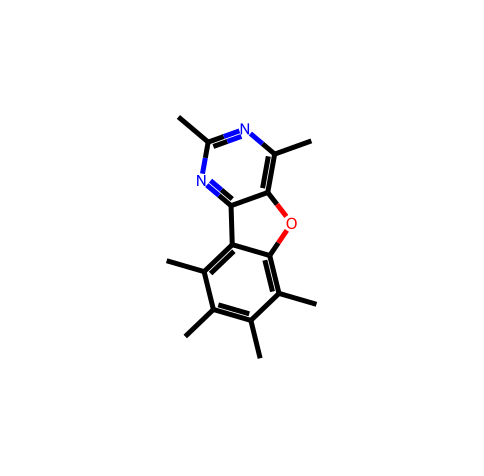 Cc1nc(C)c2oc3c(C)c(C)c(C)c(C)c3c2n1